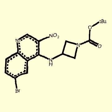 CC(C)(C)OC(=O)N1CC(Nc2c([N+](=O)[O-])cnc3ccc(Br)cc23)C1